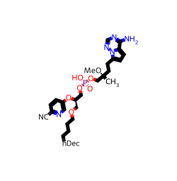 CCCCCCCCCCCCCCOC[C@H](COP(=O)(O)OC[C@](C)(CCc1ccc2c(N)ncnn12)OC)Oc1ccc(C#N)nc1